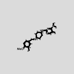 COc1ccc(CNC2CCC(Nc3ncc(C)c(N(C)C)n3)CC2)cc1C